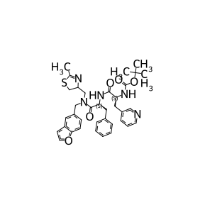 CC1=NC(CN(Cc2ccc3occc3c2)C(=O)[C@H](Cc2ccccc2)NC(=O)[C@H](Cc2cccnc2)NC(=O)OC(C)(C)C)CS1